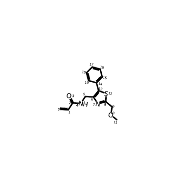 C=CC(=O)NCc1nc(COC)sc1-c1ccccc1